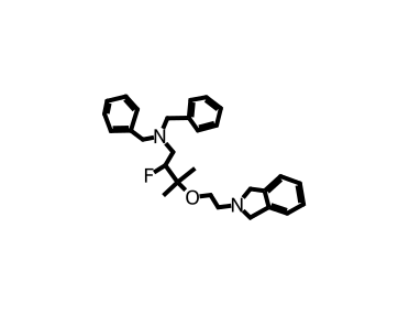 CC(C)(OCCN1Cc2ccccc2C1)C(F)CN(Cc1ccccc1)Cc1ccccc1